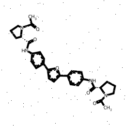 CC(=O)N1CCC[C@H]1C(=O)Nc1ccc(-c2ccc(-c3ccc(NC(=O)[C@@H]4CCCN4C(C)=O)cc3)o2)cc1